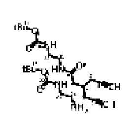 C#CCC(CC#C)CC(=O)NCCNC(=O)OC(C)(C)C.CC(C)(C)OC(=O)NCCN